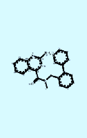 CN(Cc1ccccc1-c1cccnc1)C(=O)c1nc(N)nc2ccccc12